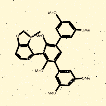 COc1cc(OC)cc(-c2cc(-c3cc(OC)cc(OC)c3)c(OC)c(-c3cccc4c3P(C)CO4)c2OC)c1